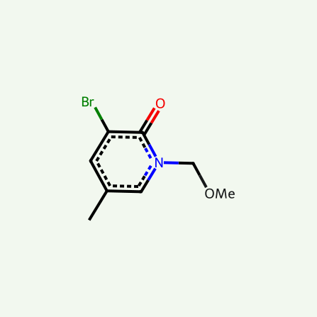 COCn1cc(C)cc(Br)c1=O